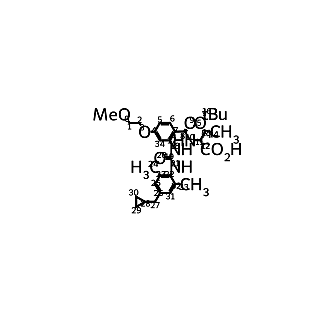 COCCOc1ccc(C(=O)NC(C(=O)O)[C@@H](C)OC(C)(C)C)c(NC(=O)Nc2c(C)cc(CC3CC3)cc2C)c1